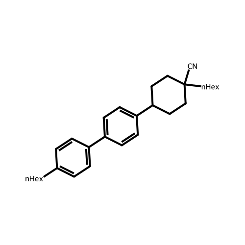 CCCCCCc1ccc(-c2ccc(C3CCC(C#N)(CCCCCC)CC3)cc2)cc1